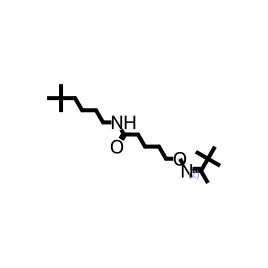 C/C(=N/OCCCCC(=O)NCCCCC(C)(C)C)C(C)(C)C